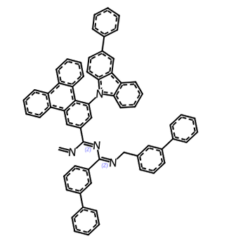 C=N/C(=N\C(=N/Cc1cccc(-c2ccccc2)c1)c1cccc(-c2ccccc2)c1)c1cc(-n2c3ccccc3c3cc(-c4ccccc4)ccc32)c2c3ccccc3c3ccccc3c2c1